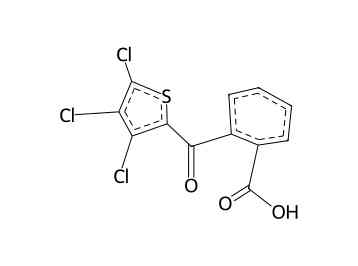 O=C(O)c1ccccc1C(=O)c1sc(Cl)c(Cl)c1Cl